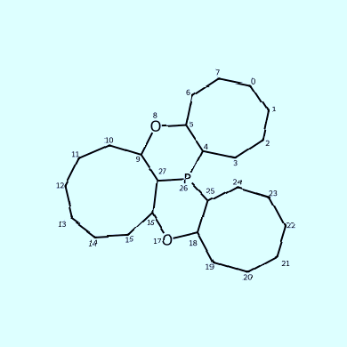 C1CCCC2C(CC1)OC1CCCCCCC3OC4CCCCCCC4P2C13